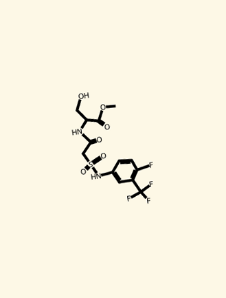 COC(=O)C(CO)NC(=O)CS(=O)(=O)Nc1ccc(F)c(C(F)(F)F)c1